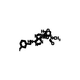 CN(C=O)[C@]12CO[C@@H]([C@H](n3cnc4c(NCc5cccc(I)c5)ncnc43)O1)[C@H]2O